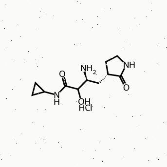 Cl.N[C@@H](C[C@@H]1CCNC1=O)C(O)C(=O)NC1CC1